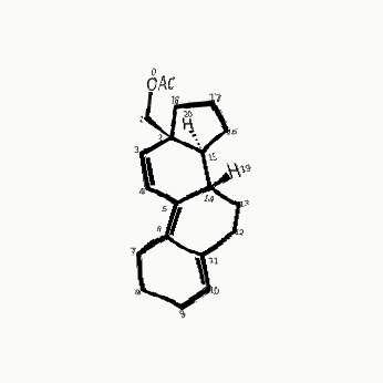 CC(=O)OC[C@]12C=CC3=C4CCCC=C4CC[C@H]3[C@@H]1CCC2